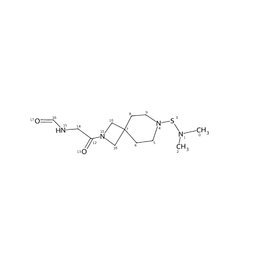 CN(C)SN1CCC2(CC1)CN(C(=O)CNC=O)C2